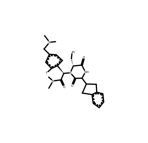 CC(C)C[C@@H]1C(=O)NC(C2Cc3ccccc3C2)C(=O)N1[C@@H](C(=O)N(C)C)c1ccc(CN(C)C)cc1F